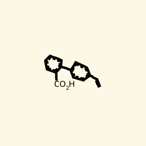 C=Cc1ccc(-c2ccccc2C(=O)O)cc1